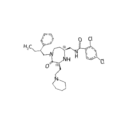 CCC(CN1CC[C@@H](CNC(=O)c2ccc(Cl)cc2Cl)N[C@@H](CCN2CCCCC2)C1=O)c1ccccc1